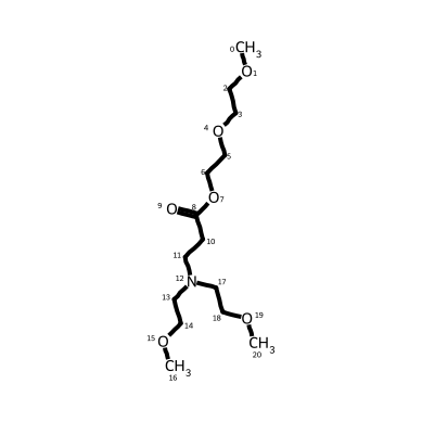 COCCOCCOC(=O)CCN(CCOC)CCOC